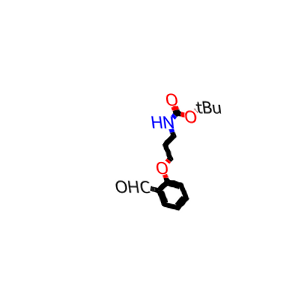 CC(C)(C)OC(=O)NCCCOc1ccccc1C=O